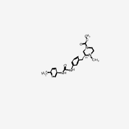 COC(=O)N1CCN(C)[C@@H](Cc2cccc(NC(=O)Nc3ccc(C)nc3)c2)C1